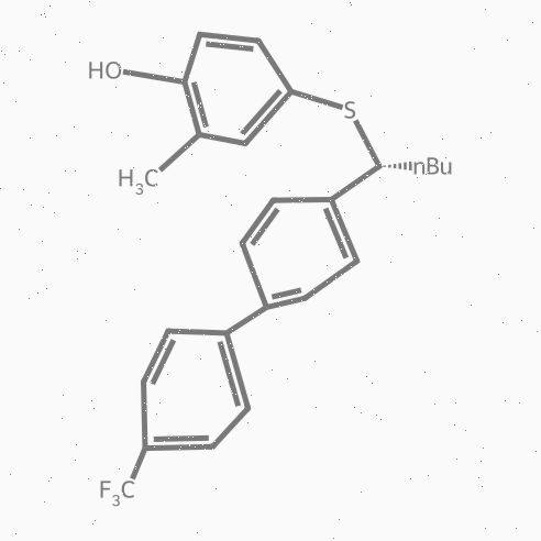 CCCC[C@@H](Sc1ccc(O)c(C)c1)c1ccc(-c2ccc(C(F)(F)F)cc2)cc1